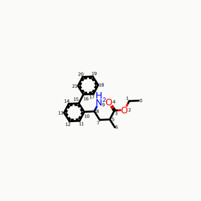 CCOC(=O)C(C)CC(N)c1ccccc1-c1ccccc1